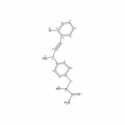 NC(=O)N(O)Cc1ccc(C(O)C#Cc2ccccc2Cl)cc1